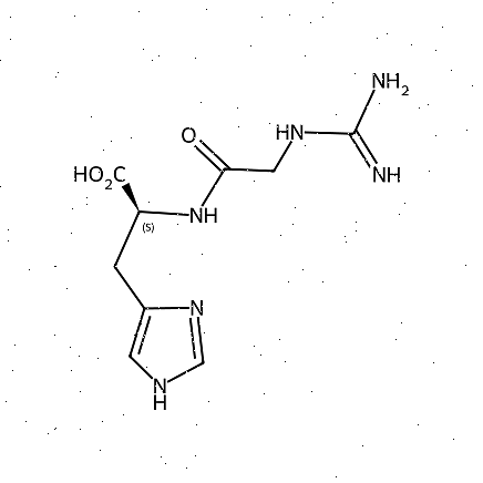 N=C(N)NCC(=O)N[C@@H](Cc1c[nH]cn1)C(=O)O